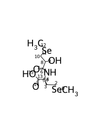 C[Se]CC[C@H](NC(=O)C(O)C[Se]C)C(=O)O